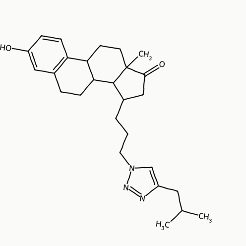 CC(C)Cc1cn(CCCC2CC(=O)C3(C)CCC4c5ccc(O)cc5CCC4C23)nn1